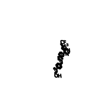 CN(CCO)c1ccc(CN2CCC3(CCN(c4ncnc5sc(CC(F)(F)F)cc45)C3)C2)cc1